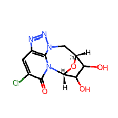 O=c1c(Cl)cc2nnn3c2n1[C@@H]1O[C@H](C3)C(O)C1O